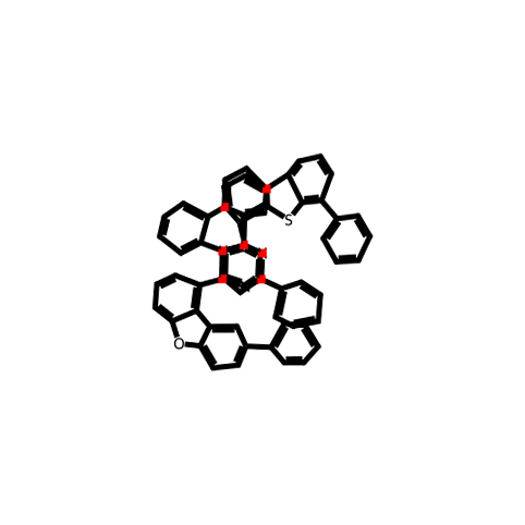 c1ccc(-c2ccc3oc4cccc(-c5nc(-c6ccccc6)nc(-c6ccccc6-c6ccccc6-c6ccccc6-c6cccc7c6sc6c(-c8ccccc8)cccc67)n5)c4c3c2)cc1